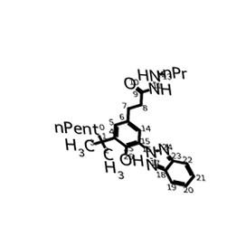 CCCCCC(C)(C)c1cc(CCC(=O)NNCCC)cc(-n2nc3ccccc3n2)c1O